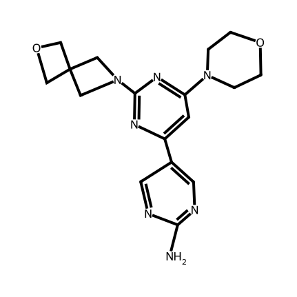 Nc1ncc(-c2cc(N3CCOCC3)nc(N3CC4(COC4)C3)n2)cn1